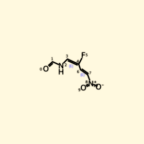 O=CN/C=C(F)\C=C\[N+](=O)[O-]